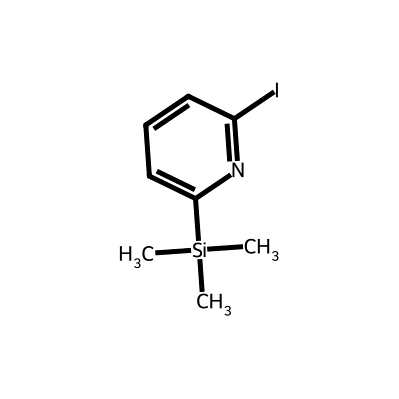 C[Si](C)(C)c1cccc(I)n1